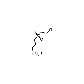 O=C(O)CCCS(=O)(=O)CCCl